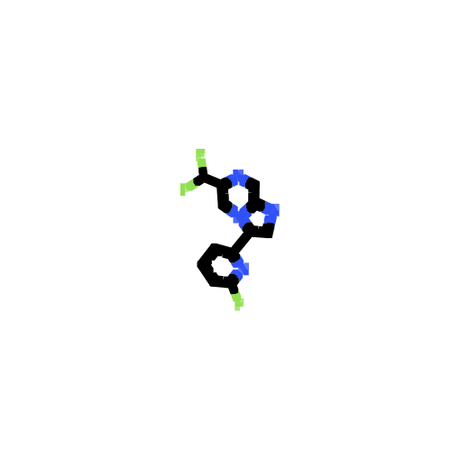 Fc1cccc(-c2cnc3cnc(C(F)F)cn23)n1